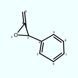 C=C1OC1c1ccccc1